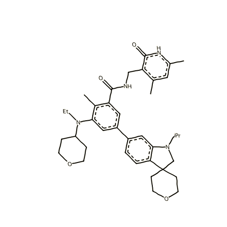 CCN(c1cc(-c2ccc3c(c2)N(C(C)C)CC32CCOCC2)cc(C(=O)NCc2c(C)cc(C)[nH]c2=O)c1C)C1CCOCC1